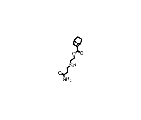 NC(=O)CCNCCOC(=O)C1CC2CCC1O2